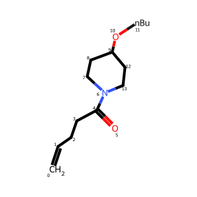 C=CCCC(=O)N1CCC(OCCCC)CC1